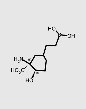 N[C@@]1(C(=O)O)CC(CCB(O)O)CC[C@H]1O